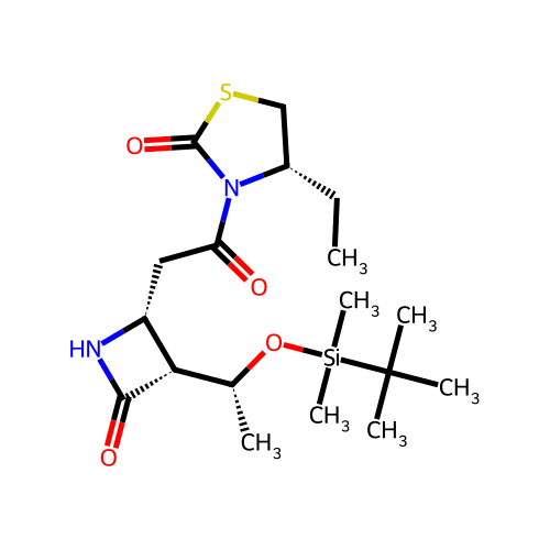 CC[C@H]1CSC(=O)N1C(=O)C[C@H]1NC(=O)[C@H]1[C@@H](C)O[Si](C)(C)C(C)(C)C